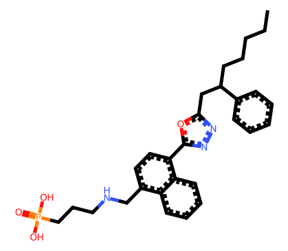 CCCCCC(Cc1nnc(-c2ccc(CNCCCP(=O)(O)O)c3ccccc23)o1)c1ccccc1